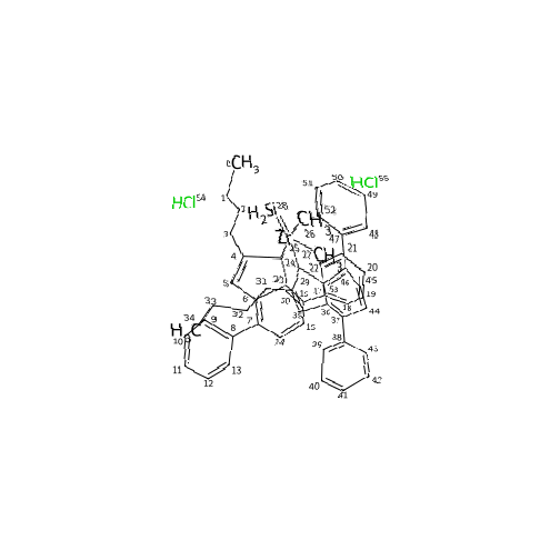 CCCCC1=Cc2c(-c3ccccc3)ccc(-c3ccccc3)c2[CH]1[Zr]([CH3])([CH3])(=[SiH2])[CH]1C(CCCC)=Cc2c(-c3ccccc3)ccc(-c3ccccc3)c21.Cl.Cl